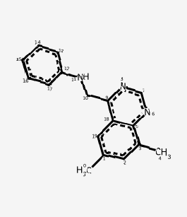 Cc1cc(C)c2ncnc(CNc3ccccc3)c2c1